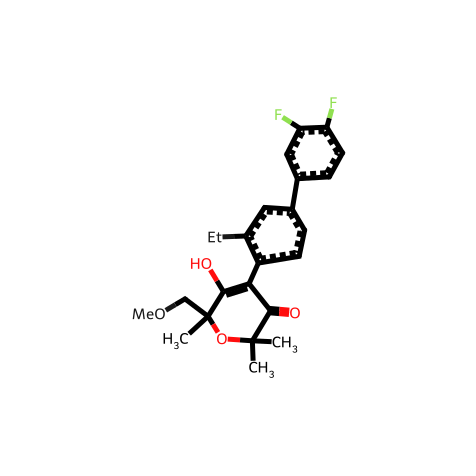 CCc1cc(-c2ccc(F)c(F)c2)ccc1C1=C(O)C(C)(COC)OC(C)(C)C1=O